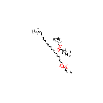 C=C(C)C(=O)OCCCC.C=CC(=O)OCCCCCCCCCCCCCCCCCC